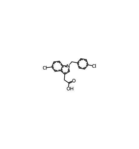 O=C(O)Cc1cn(Cc2ccc(Cl)cc2)c2ccc(Cl)cc12